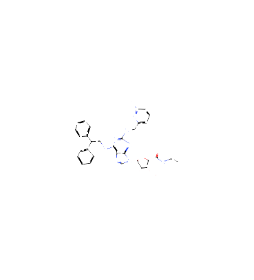 CCNC(=O)[C@H]1O[C@@H](n2cnc3c(NCC(c4ccccc4)c4ccccc4)nc(NCc4cccc(N)n4)nc32)[C@H](O)[C@@H]1O